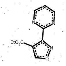 CCOC(=O)c1conc1-c1ncccn1